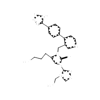 CCCCc1cn(-c2nncn2CC)c(=O)n1Cc1cnccc1-c1ccc(-c2nnn[nH]2)cc1